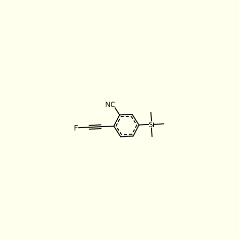 C[Si](C)(C)c1ccc(C#CF)c(C#N)c1